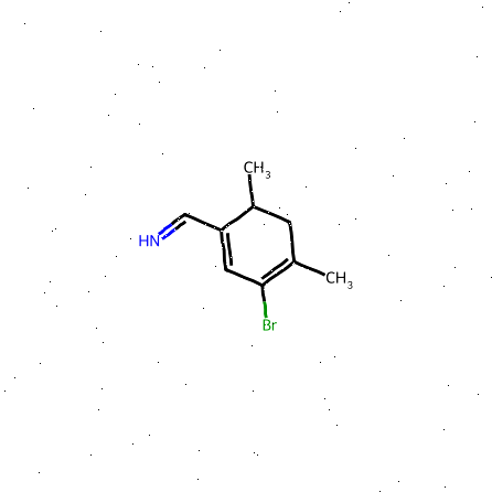 CC1=C(Br)C=C(C=N)C(C)C1